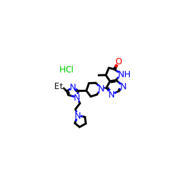 CCc1cn(CCN2CCCC2)c(C2CCN(c3ncnc4c3C(C)CC(=O)N4)CC2)n1.Cl